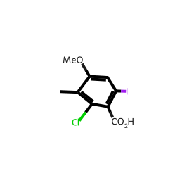 COc1cc(I)c(C(=O)O)c(Cl)c1C